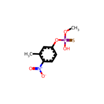 COP(O)(=S)Oc1ccc([N+](=O)[O-])c(C)c1